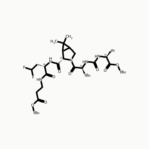 CC(C)[C@H](NC(=O)N[C@H](C(=O)N1CC2C([C@H]1C(=O)N[C@@H](CC(F)F)C(=O)NCCC(=O)OC(C)(C)C)C2(C)C)C(C)(C)C)C(=O)OC(C)(C)C